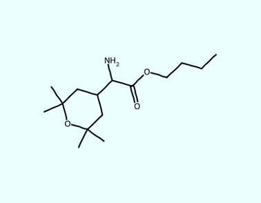 CCCCOC(=O)C(N)C1CC(C)(C)OC(C)(C)C1